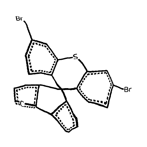 Brc1ccc2c(c1)Sc1cc(Br)ccc1C21c2ccccc2-c2ccccc21